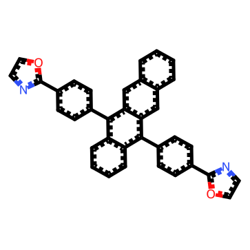 c1ccc2cc3c(-c4ccc(-c5ncco5)cc4)c4ccccc4c(-c4ccc(-c5ncco5)cc4)c3cc2c1